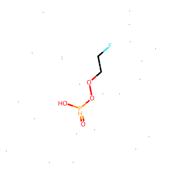 O=[PH](O)OOCCF